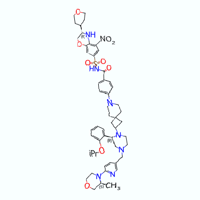 CC(C)Oc1ccccc1[C@@H]1CN(Cc2ccc(N3CCOC[C@@H]3C)nc2)CCN1C1CC2(CCN(c3ccc(C(=O)NS(=O)(=O)c4cc5c(c([N+](=O)[O-])c4)N[C@H](C4CCOCC4)CO5)cc3)CC2)C1